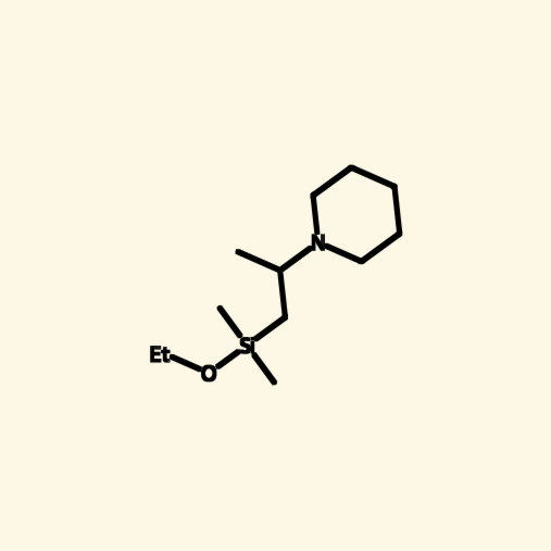 CCO[Si](C)(C)CC(C)N1CCCCC1